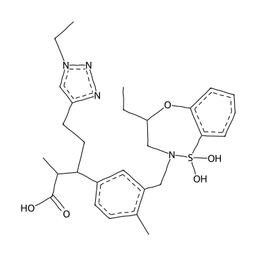 CCC1CN(Cc2cc(C(CCc3cn(CC)nn3)C(C)C(=O)O)ccc2C)S(O)(O)c2ccccc2O1